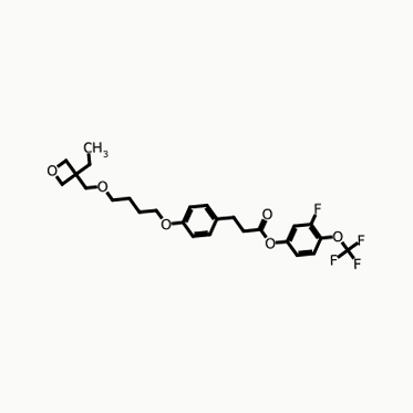 CCC1(COCCCCOc2ccc(CCC(=O)Oc3ccc(OC(F)(F)F)c(F)c3)cc2)COC1